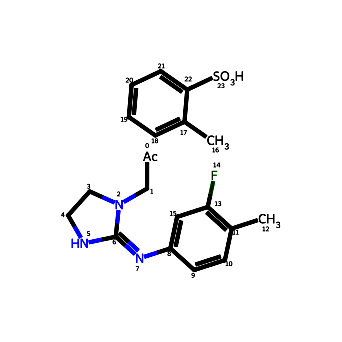 CC(=O)CN1CCNC1=Nc1ccc(C)c(F)c1.Cc1ccccc1S(=O)(=O)O